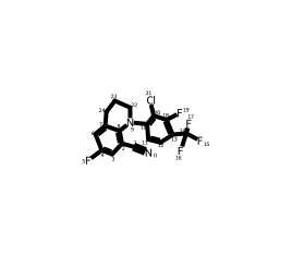 N#Cc1cc(F)cc2c1N(c1ccc(C(F)(F)F)c(F)c1Cl)CCC2